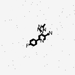 Cc1nnn(-c2cc(-c3ccc(F)cc3)ncc2C#N)n1